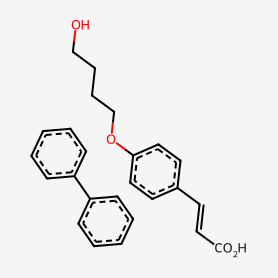 O=C(O)C=Cc1ccc(OCCCCO)cc1.c1ccc(-c2ccccc2)cc1